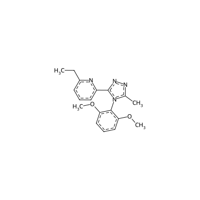 CCc1cccc(-c2nnc(C)n2-c2c(OC)cccc2OC)n1